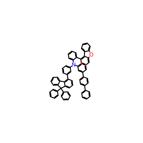 c1ccc(-c2ccc(-c3cccc(N(c4cccc(-c5cccc6c5-c5ccccc5C6(c5ccccc5)c5ccccc5)c4)c4ccccc4-c4cccc5oc6ccccc6c45)c3)cc2)cc1